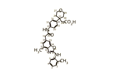 Cc1ccccc1Nc1nc2c(C)cc(CC(=O)Nc3ccc(C4(CC(=O)O)CCOCC4)cc3)cc2o1